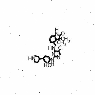 CC1(C)C(=O)Nc2cccc(CNc3nc(Nc4ccc(C5CCNCC5)cc4O)ncc3Cl)c21